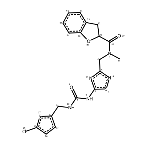 CN(Cc1nsc(NC(=O)NCc2ccc(Cl)s2)n1)C(=O)C1Cc2ccccc2O1